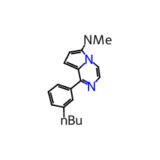 CCCCc1cccc(-c2nccn3c(NC)ccc23)c1